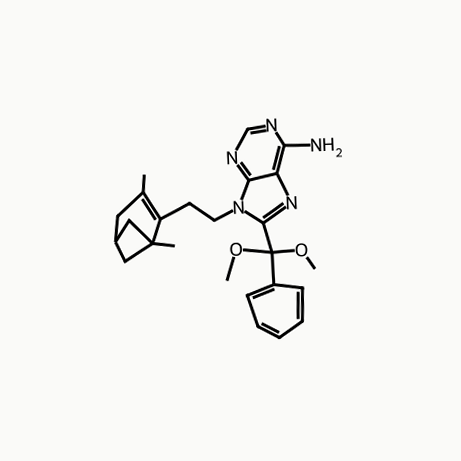 COC(OC)(c1ccccc1)c1nc2c(N)ncnc2n1CCC1=C(C)CC2CC1(C)C2